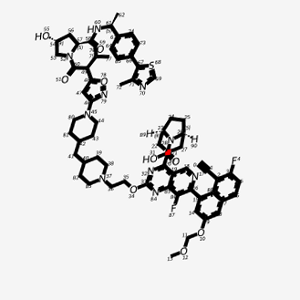 C#Cc1c(F)ccc2cc(OCOC)cc(-c3ncc4c(N5C[C@H]6CC[C@@H](C5)N6C(=O)O)nc(OCCN5CCC(CC6CCN(c7cc(C(C(=O)N8C[C@H](O)C[C@H]8C(=O)N[C@@H](C)c8ccc(-c9scnc9C)cc8)C(C)C)on7)CC6)CC5)nc4c3F)c12